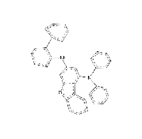 c1ccc(-c2ccccc2Nc2cc(N(c3ccccc3)c3ccccc3)c3c(c2)oc2ccccc23)cc1